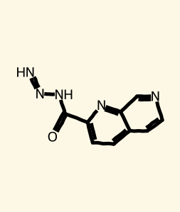 N=NNC(=O)c1ccc2ccncc2n1